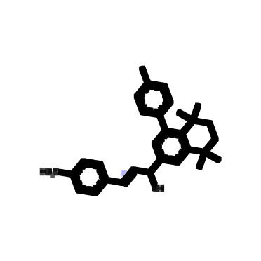 Cc1ccc(-c2cc(C(O)/C=C/c3ccc(C(=O)O)cc3)cc3c2C(C)(C)CCC3(C)C)cc1